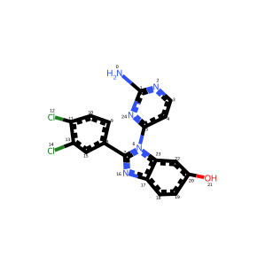 Nc1nccc(-n2c(-c3ccc(Cl)c(Cl)c3)nc3ccc(O)cc32)n1